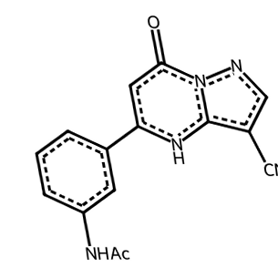 CC(=O)Nc1cccc(-c2cc(=O)n3ncc(C#N)c3[nH]2)c1